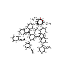 Cc1ccccc1-c1ccc2c3ccc(-c4ccccc4C)cc3n(-c3cc(-c4cccc(C#N)c4)cc(-n4c5cc(-c6ccccc6C)ccc5c5ccc(-c6ccccc6C)cc54)c3C#N)c2c1